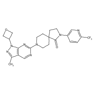 Cc1nn(C2COC2)c2nc(N3CCC4(CC3)CCN(c3ccc(C(F)(F)F)nc3)C4=O)ncc12